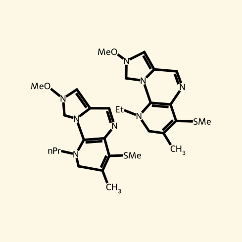 CCCN1CC(C)=C(SC)C2=C1N1CN(OC)C=C1C=N2.CCN1CC(C)=C(SC)C2=C1N1CN(OC)C=C1C=N2